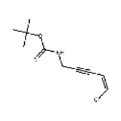 CC(C)(C)OC(=O)NCC#C/C=C\Cl